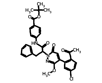 COc1nn(C(Cc2ccccc2)C(=O)Nc2ccc(C(=O)OC(C)(C)C)cc2)c(=O)cc1-c1cc(Cl)ccc1C(C)=O